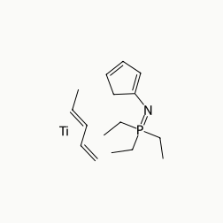 C=CC=CC.CCP(CC)(CC)=NC1=CC=CC1.[Ti]